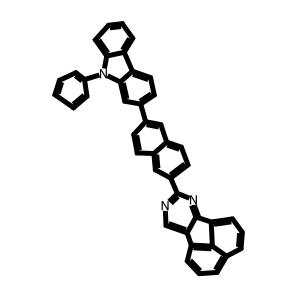 c1ccc(-n2c3ccccc3c3ccc(-c4ccc5cc(-c6ncc7c(n6)-c6cccc8cccc-7c68)ccc5c4)cc32)cc1